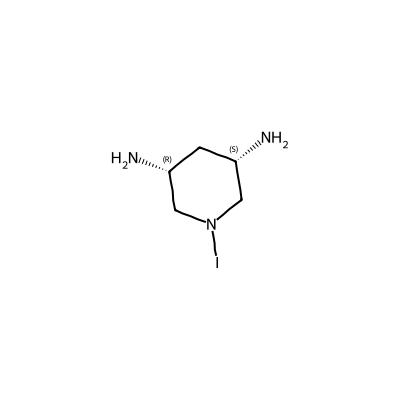 N[C@@H]1C[C@H](N)CN(I)C1